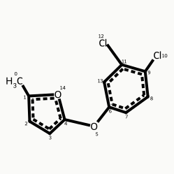 Cc1ccc(Oc2ccc(Cl)c(Cl)c2)o1